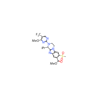 COC(=O)c1cc2nc3n(c2cc1S(C)(=O)=O)CCN(c1ncc(C(F)(F)F)c(OC)n1)C3C(C)C